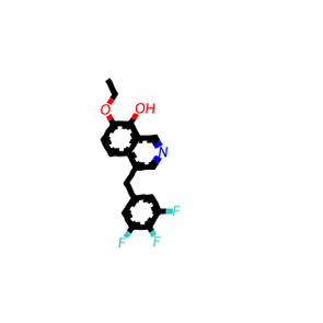 CCOc1ccc2c(Cc3cc(F)c(F)c(F)c3)cncc2c1O